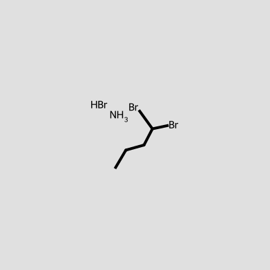 Br.CCCC(Br)Br.N